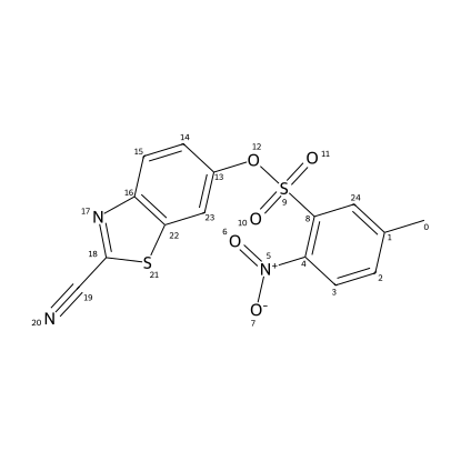 Cc1ccc([N+](=O)[O-])c(S(=O)(=O)Oc2ccc3nc(C#N)sc3c2)c1